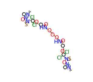 O=C(NCCOCCOCCOCCNC(=O)c1ccc(COc2cc(Cl)c(CN3CSC[C@H]3C(=O)N3CCN(C4CC4)c4ccccc43)cc2Cl)cc1)c1ccc(COc2cc(Cl)c(CN3CSC[C@@H]3C(=O)N3CCN(C4CC4)c4ccccc43)cc2Cl)cc1